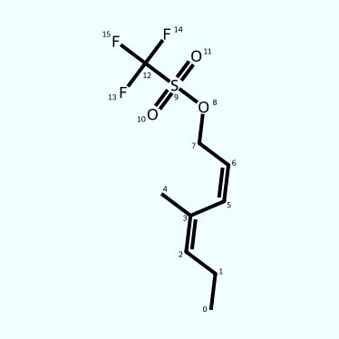 CC/C=C(C)\C=C/COS(=O)(=O)C(F)(F)F